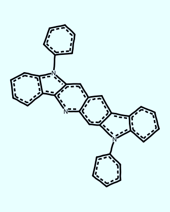 c1ccc(-n2c3ccccc3c3cc4cc5c(nc4cc32)c2ccccc2n5-c2ccccc2)cc1